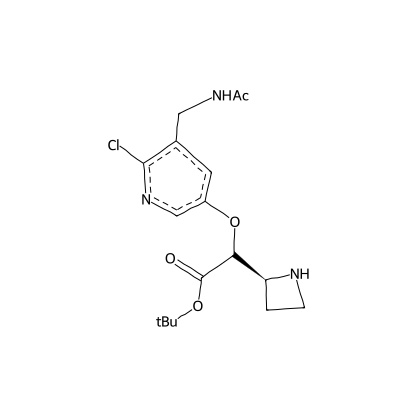 CC(=O)NCc1cc(OC(C(=O)OC(C)(C)C)[C@@H]2CCN2)cnc1Cl